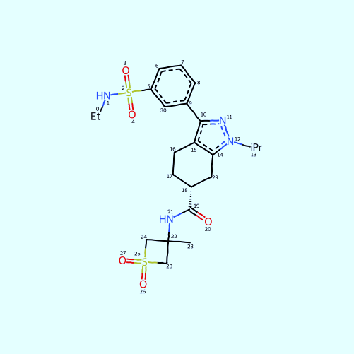 CCNS(=O)(=O)c1cccc(-c2nn(C(C)C)c3c2CC[C@@H](C(=O)NC2(C)CS(=O)(=O)C2)C3)c1